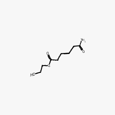 NC(=O)CCCCC(=O)OCCO